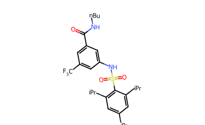 CCCCNC(=O)c1cc(NS(=O)(=O)c2c(C(C)C)cc(C(C)C)cc2C(C)C)cc(C(F)(F)F)c1